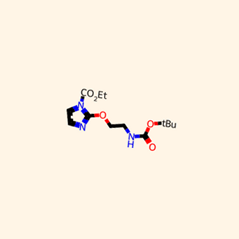 CCOC(=O)n1ccnc1OCCNC(=O)OC(C)(C)C